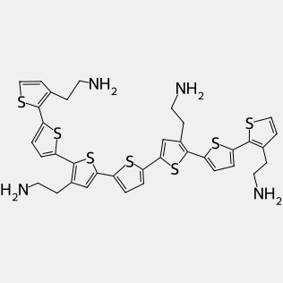 NCCc1ccsc1-c1ccc(-c2sc(-c3ccc(-c4cc(CCN)c(-c5ccc(-c6sccc6CCN)s5)s4)s3)cc2CCN)s1